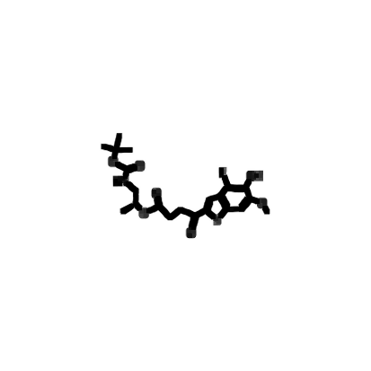 COc1cc2sc(C(=O)CCC(=O)O[C@@H](C)CNC(=O)OC(C)(C)C)cc2c(F)c1O